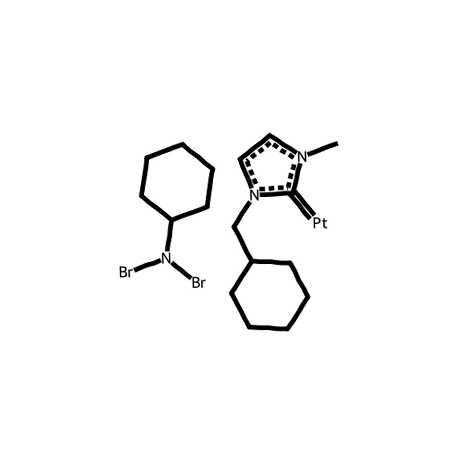 BrN(Br)C1CCCCC1.Cn1ccn(CC2CCCCC2)[c]1=[Pt]